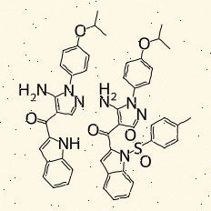 CC(C)Oc1ccc(-n2ncc(C(=O)c3cc4ccccc4[nH]3)c2N)cc1.Cc1ccc(S(=O)(=O)n2c(C(=O)c3cnn(-c4ccc(OC(C)C)cc4)c3N)cc3ccccc32)cc1